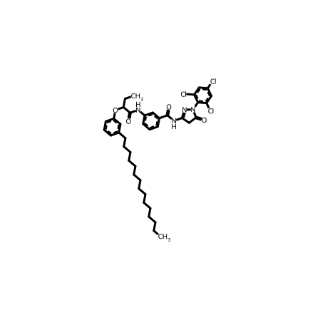 CCCCCCCCCCCCCCCc1cccc(OC(CC)C(=O)Nc2cccc(C(=O)NC3=NN(c4c(Cl)cc(Cl)cc4Cl)C(=O)C3)c2)c1